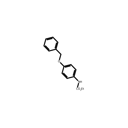 CCOC(=O)Nc1ccc(OCc2ccccc2)cc1